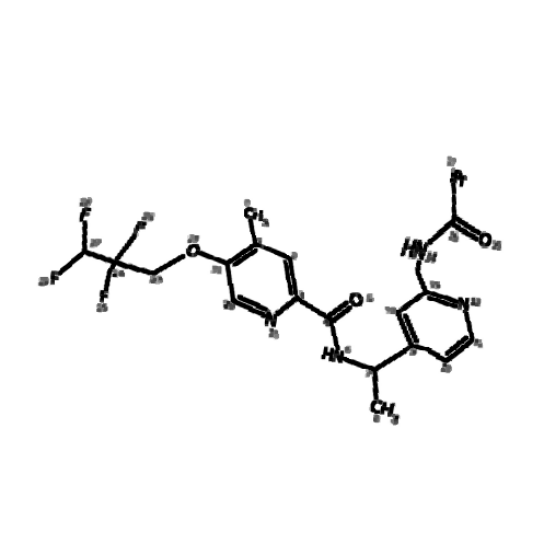 Cc1cc(C(=O)NC(C)c2ccnc(NC(=O)C(C)C)c2)ncc1OCC(F)(F)C(F)F